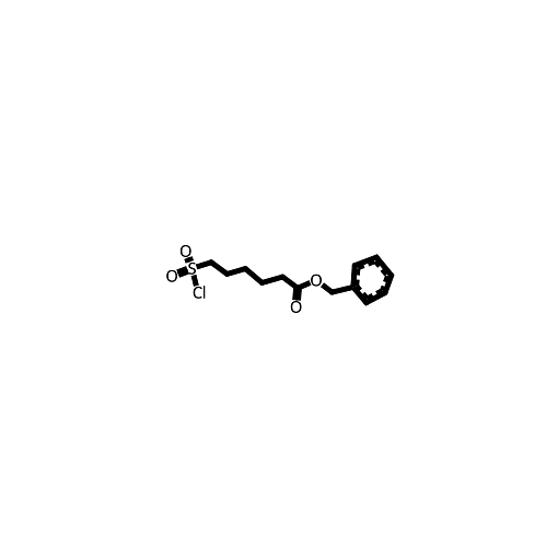 O=C(CCCCCS(=O)(=O)Cl)OCc1ccccc1